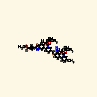 COC(=O)C12CC(c3nc4cc([C@H]5CC[C@H](CSc6ccc([C@H]7CC[C@H](C)CN7C(=O)OC(C)(C)C)cc6N)CN5C(=O)OC(C)(C)C)ccc4s3)(C1)C2